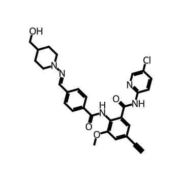 C#Cc1cc(OC)c(NC(=O)c2ccc(C=NN3CCC(CO)CC3)cc2)c(C(=O)Nc2ccc(Cl)cn2)c1